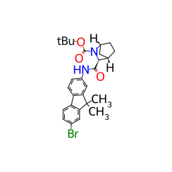 CC(C)(C)OC(=O)N1[C@@H]2CC[C@@H](C2)[C@H]1C(=O)Nc1ccc2c(c1)C(C)(C)c1cc(Br)ccc1-2